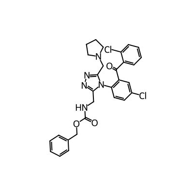 O=C(NCc1nnc(CN2CCCC2)n1-c1ccc(Cl)cc1C(=O)c1ccccc1Cl)OCc1ccccc1